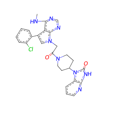 CNc1ncnc2c1c(-c1ccccc1Cl)cn2CC(=O)N1CCC(n2c(=O)[nH]c3ncccc32)CC1